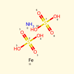 N.O=S(=O)(O)O.O=S(=O)(O)O.[Fe]